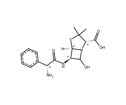 CC1(C)S[C@@H]2[C@H](NC(=O)[C@H](N)c3ccccc3)C(O)N2[C@H]1C(=O)O